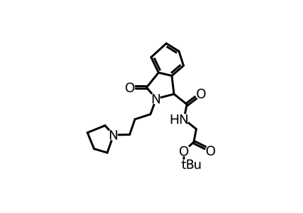 CC(C)(C)OC(=O)CNC(=O)C1c2ccccc2C(=O)N1CCCN1CCCC1